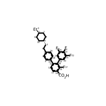 CC[C@H]1CC[C@H](CCc2ccc(-c3ccc(C(=O)O)c(F)c3-c3cc(F)c(F)c(F)c3)cc2)CC1